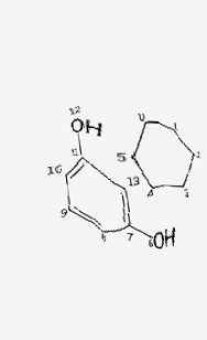 C1CCCCC1.Oc1cccc(O)c1